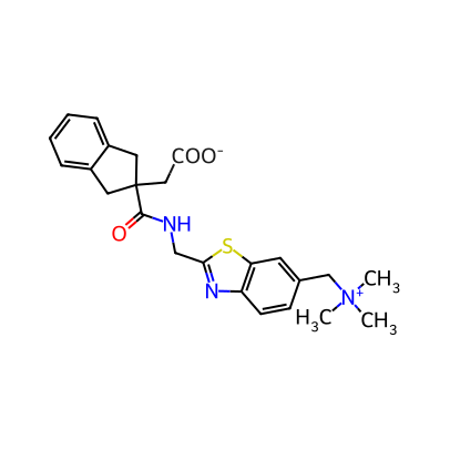 C[N+](C)(C)Cc1ccc2nc(CNC(=O)C3(CC(=O)[O-])Cc4ccccc4C3)sc2c1